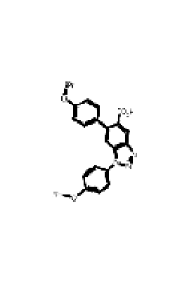 CC(C)Oc1ccc(-c2cc3c(cc2C(=O)O)nnn3-c2ccc(OC(C)C)cc2)cc1